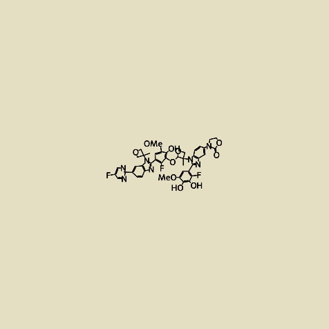 COc1cc(-c2nc3cc(N4CCOC4=O)ccc3n2C2(C)COC2Oc2c(O)c(OC)cc(-c3nc4ccc(-c5ncc(F)cn5)cc4n3C3(C)COC3)c2F)c(F)c(O)c1O